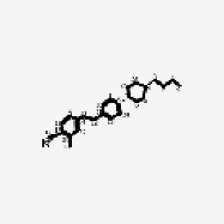 CCCC[C@H]1CC[C@H](c2ccc(CCc3ccc(C#N)c(C)c3)cc2)CC1